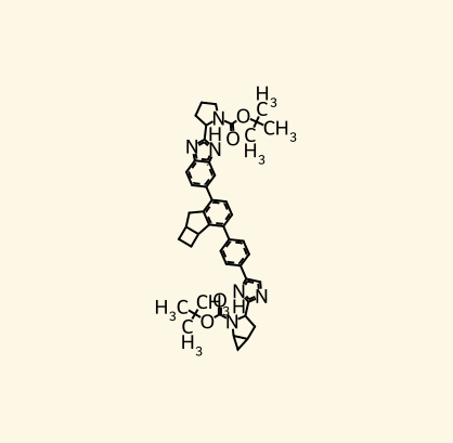 CC(C)(C)OC(=O)N1CCCC1c1nc2ccc(-c3ccc(-c4ccc(-c5cnc(C6CC7CC7N6C(=O)OC(C)(C)C)[nH]5)cc4)c4c3CC3CCC43)cc2[nH]1